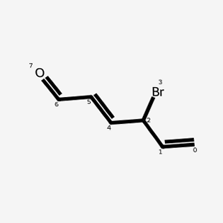 C=CC(Br)C=CC=O